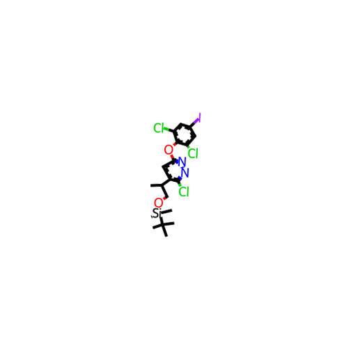 CC(CO[Si](C)(C)C(C)(C)C)c1cc(Oc2c(Cl)cc(I)cc2Cl)nnc1Cl